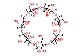 OCC1O[C@@H]2O[C@@H]3C(CO)O[C@H](O[C@@H]4C(CO)O[C@H](O[C@@H]5C(CO)O[C@H](O[C@@H]6C(CO)O[C@H](O[C@@H]7C(CO)O[C@@H](O[C@@H]8C(CO)OC(O[C@H]1C(O)[C@@H]2O)C(O)[C@H]8O)C(O)[C@H]7O)C(O)[C@H]6O)C(O)[C@H]5O)[C@@H](O)C4O)[C@@H](O)C3O